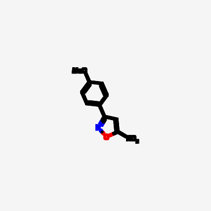 COc1ccc(-c2cc([N+](=O)[O-])on2)cc1